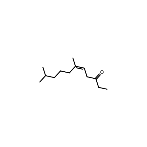 CCC(=O)CC=C(C)CCCC(C)C